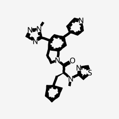 CN(c1cscn1)[C@@H](Cc1ccccc1)C(=O)N1CCc2c(-c3ncnn3C)cc(-c3ccncc3)cc21